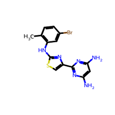 Cc1ccc(Br)cc1Nc1nc(-c2nc(N)cc(N)n2)cs1